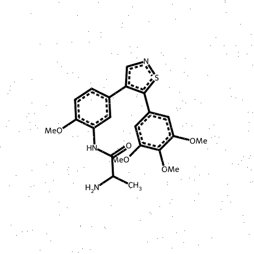 COc1ccc(-c2cnsc2-c2cc(OC)c(OC)c(OC)c2)cc1NC(=O)C(C)N